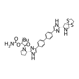 CCC(C)[C@H](OC(N)=O)C(=O)N1CCC[C@H]1c1nc(-c2ccc(-c3ccc(-c4c[nH]c([C@@H]5CC6(CN5)SCCS6)n4)cc3)cc2)c[nH]1